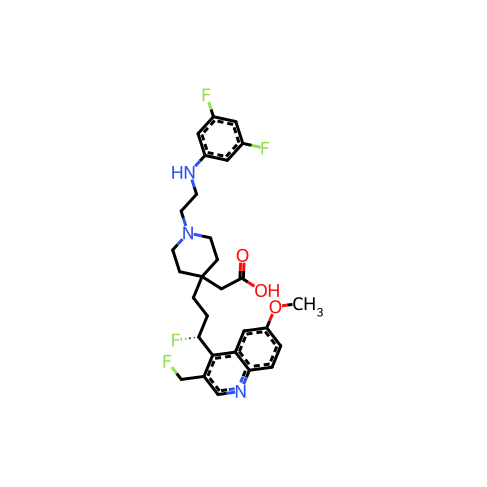 COc1ccc2ncc(CF)c([C@H](F)CCC3(CC(=O)O)CCN(CCNc4cc(F)cc(F)c4)CC3)c2c1